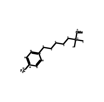 CO[Si](C)(C)CCCCCc1ccc(C(F)(F)F)cc1